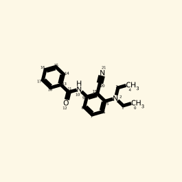 CCN(CC)c1cccc(NC(=O)c2ccccc2)c1C#N